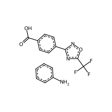 Nc1ccccc1.O=C(O)c1ccc(-c2noc(C(F)(F)F)n2)cc1